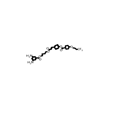 Nc1cc(N)cc(C(=O)OCCCCOC(=O)C=Cc2ccc(OC(=O)C3CCC(OCCCC(F)(F)F)CC3)cc2)c1